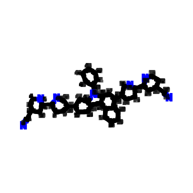 N#Cc1ccnc(-c2ccc(-c3ccc4c5c6ccccc6c(-c6ccc(-c7cc(C#N)ccn7)nc6)cc5n(-c5ccccc5)c4c3)cn2)c1